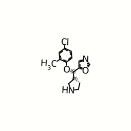 Cc1cc(Cl)ccc1O[C@H](c1cnco1)[C@@H]1CCNC1